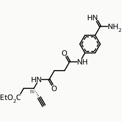 C#C[C@H](CC(=O)OCC)NC(=O)CCC(=O)Nc1ccc(C(=N)N)cc1